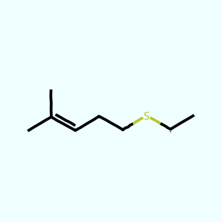 C[CH]SCCC=C(C)C